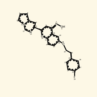 O/N=c1/cc(-c2cc3cccn3cn2)oc2ccc(OCCc3ccc(F)cc3)cc12